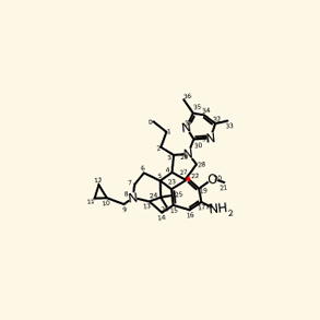 CCCC1C(C23CCN(CC4CC4)C(Cc4cc(N)c(OC)cc42)C3(C)C)CCN1c1nc(C)cc(C)n1